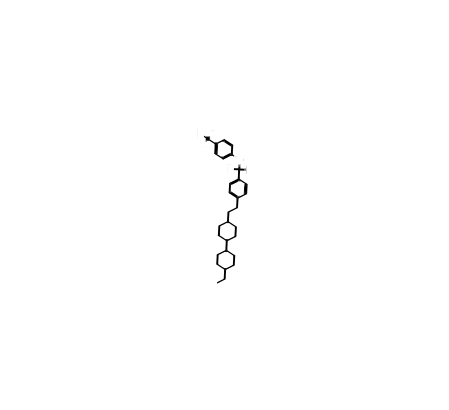 CCC1CCC(C2CCC(CCc3ccc(C(F)(F)Oc4ccc(C(F)(F)F)cc4)cc3)CC2)CC1